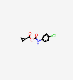 O=C(Nc1ccc(Cl)cc1)OC(=O)C1CC1